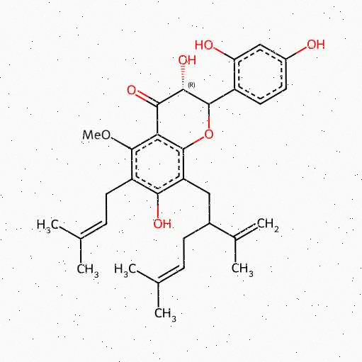 C=C(C)C(CC=C(C)C)Cc1c(O)c(CC=C(C)C)c(OC)c2c1OC(c1ccc(O)cc1O)[C@@H](O)C2=O